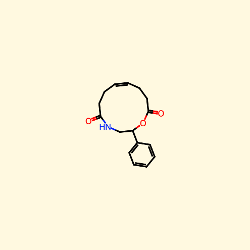 O=C1CCC=CCCC(=O)OC(c2ccccc2)CN1